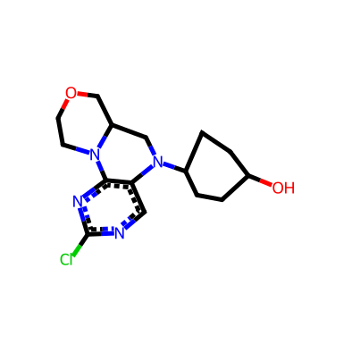 OC1CCC(N2CC3COCCN3c3nc(Cl)ncc32)CC1